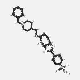 CS(=O)(=O)c1ccc(-c2nc3ccc(OCC4CCN(Cc5ccccc5)CC4)nc3s2)cc1